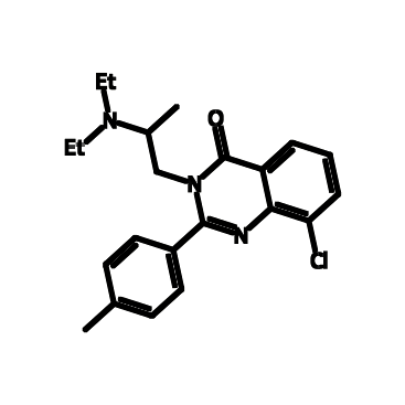 CCN(CC)C(C)Cn1c(-c2ccc(C)cc2)nc2c(Cl)cccc2c1=O